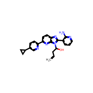 C=CCC(O)n1c(-c2cccnc2N)nc2ccc(-c3ccc(C4CC4)cn3)nc21